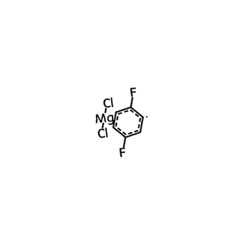 Fc1[c]cc(F)cc1.[Cl][Mg][Cl]